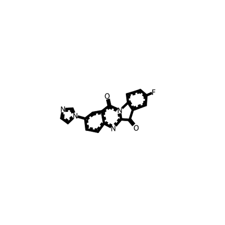 O=C1c2cc(F)ccc2-n2c1nc1ccc(-n3ccnc3)cc1c2=O